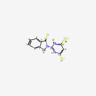 S=c1c2ccccc2[se]n1-c1nc(S)cc(S)n1